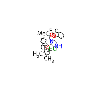 COC(=O)CN1C(C(=O)c2ccccc2C(F)(F)F)CNC(Cc2ccc(C)c(C)c2)C1C(=O)c1ccccc1C(F)(F)F.Cl